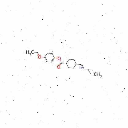 CCC/C=C/[C@H]1CC[C@H](C(=O)Oc2ccc(OCC)cc2)CC1